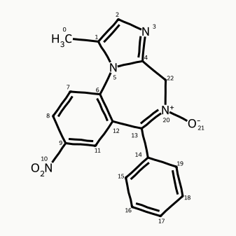 Cc1cnc2n1-c1ccc([N+](=O)[O-])cc1C(c1ccccc1)=[N+]([O-])C2